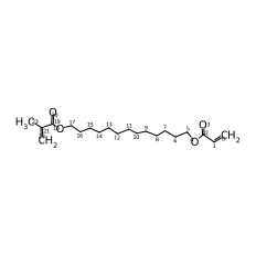 C=CC(=O)OCCCCCCCCCCCCCOC(=O)C(=C)C